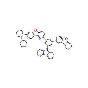 c1ccc2c(c1)oc1ccc(-c3cc(-c4ccc5oc6cc7c8ccccc8c8ccccc8c7cc6c5n4)cc(-n4c5ccccc5c5ccccc54)c3)cc12